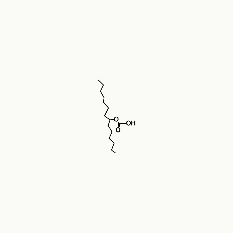 CCCCCCCC(CCCCCC)OC(=O)O